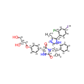 Cc1nc([C@H]([C@@H](C)c2ccccc2)N2C(=O)N[C@H](c3ccc(OC[C@H](O)CO)cc3)C2=O)[nH]c1-c1ccc(I)cc1F